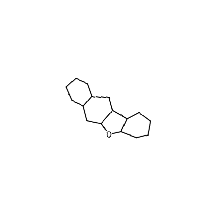 C1CCC2CC3C(CC2C1)OC1CCCCC13